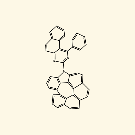 c1ccc(-c2nc(-n3c4cccc5c4c4c6c(ccc7ccc8cccc-5c8c76)ccc43)nc3ccc4ccccc4c23)cc1